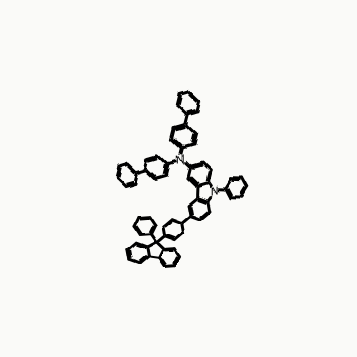 C1=CC(c2ccc3c(c2)c2cc(N(c4ccc(-c5ccccc5)cc4)c4ccc(-c5ccccc5)cc4)ccc2n3-c2ccccc2)CC=C1C1(c2ccccc2)c2ccccc2-c2ccccc21